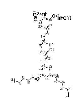 CCCCCOc1cc(/C=C/c2ccc(/C=C/c3cc(OCCCCI)cc(OCCCCI)c3)cc2)cc(OCCCCC)c1